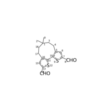 CC1(C)CCc2cc(C=O)sc2-c2sc(C=O)cc2CC1